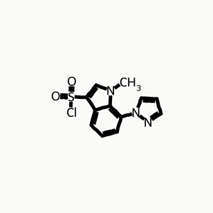 Cn1cc(S(=O)(=O)Cl)c2cccc(-n3cccn3)c21